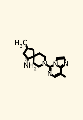 CC1C[C@@H](N)C2(CCN(c3ncc(I)c4nccn34)CC2)C1